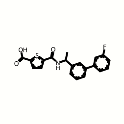 CC(NC(=O)c1ccc(C(=O)O)s1)c1cccc(-c2cccc(F)c2)c1